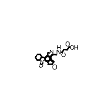 O=C(O)CCC(=O)NCC1=c2c(c3c(c4c2=CC(=O)C4)[N+](=O)C2=C3CCCC2)C=N1